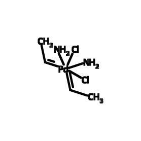 C[CH]=[Pd]([NH2])([NH2])([Cl])([Cl])=[CH]C